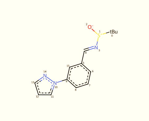 CC(C)(C)[S+]([O-])/N=C/c1cccc(-n2cccn2)c1